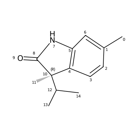 Cc1ccc2c(c1)NC(=O)[C@]2(C)C(C)C